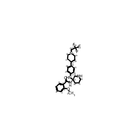 COc1ccccc1C(=O)N[C@]1(Nc2ccc(C3CCN(CC(F)(F)F)CC3)cc2)CCCNC1